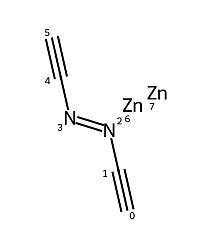 C#CN=NC#C.[Zn].[Zn]